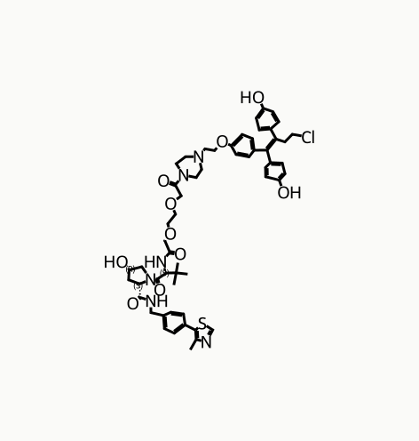 Cc1ncsc1-c1ccc(CNC(=O)[C@@H]2C[C@@H](O)CN2C(=O)[C@@H](NC(=O)COCCOCC(=O)N2CCN(CCOc3ccc(C(=C(CCCl)c4ccc(O)cc4)c4ccc(O)cc4)cc3)CC2)C(C)(C)C)cc1